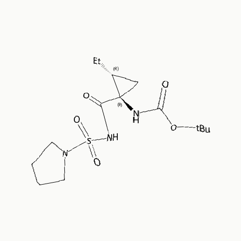 CC[C@@H]1C[C@]1(NC(=O)OC(C)(C)C)C(=O)NS(=O)(=O)N1CCCC1